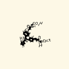 CCCCCCCCNC(=O)/C=C/c1ccc(-c2sc(-c3ccc[nH]3)nc2-c2ccc(OCC(=O)NCC(=O)O)cc2)cc1